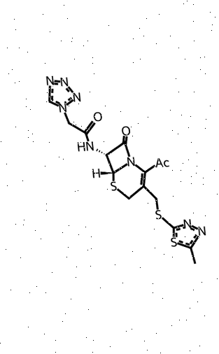 CC(=O)C1=C(CSc2nnc(C)s2)CS[C@@H]2[C@H](NC(=O)Cn3cnnn3)C(=O)N12